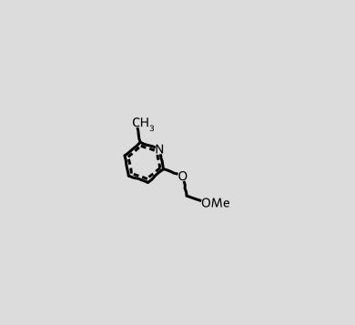 COCOc1cccc(C)n1